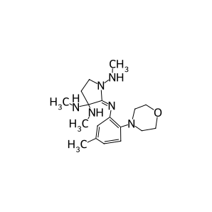 CNN1CCC(NC)(NC)C1=Nc1cc(C)ccc1N1CCOCC1